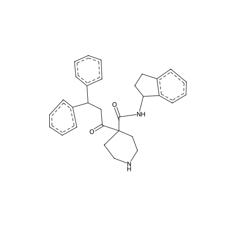 O=C(CC(c1ccccc1)c1ccccc1)C1(C(=O)NC2CCc3ccccc32)CCNCC1